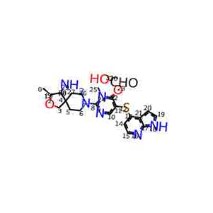 C[C@@H]1OCC2(CCN(c3ncc(Sc4ccnc5[nH]ccc45)c(=O)n3C)CC2)[C@@H]1N.O=CO